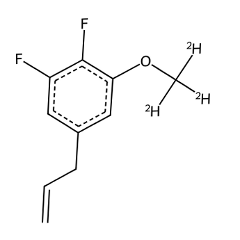 [2H]C([2H])([2H])Oc1cc(CC=C)cc(F)c1F